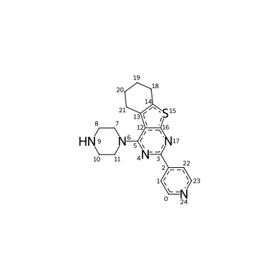 c1cc(-c2nc(N3CCNCC3)c3c4c(sc3n2)CCCC4)ccn1